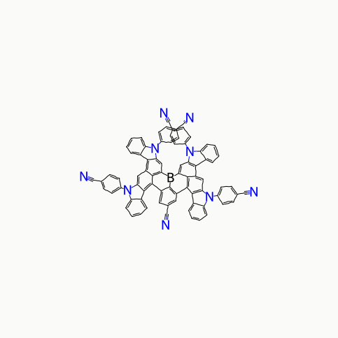 N#Cc1ccc(-n2c3ccccc3c3c4c5c(cc6c(c5cc32)c2ccccc2n6-c2ccc(C#N)cc2)B2c3c-4cc(C#N)cc3-c3c4c2cc2c(c4cc4c3c3ccccc3n4-c3ccc(C#N)cc3)c3ccccc3n2-c2ccc(C#N)cc2)cc1